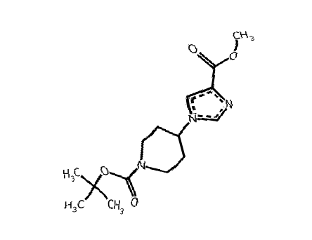 COC(=O)c1cn(C2CCN(C(=O)OC(C)(C)C)CC2)cn1